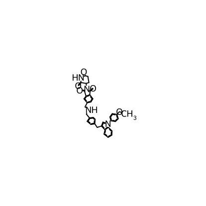 COc1ccc(-n2cc(Cc3ccc(CNCc4ccc5c(c4)C(=O)N(C4CCC(=O)NC4=O)C5=O)cc3)c3ccccc32)cc1